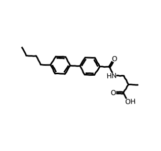 CCCCc1ccc(-c2ccc(C(=O)NCC(C)C(=O)O)cc2)cc1